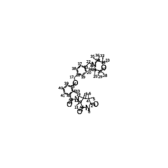 CN1C(=O)C(C)(C)C(C)(C)C(C)(N2Cc3c(OCc4ccc(CN5C(C)(C)C(C)(C)OC(C)(C)C5(C)C)cc4)cccc3C2=O)C1=O